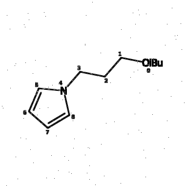 CC(C)COCCCn1cccc1